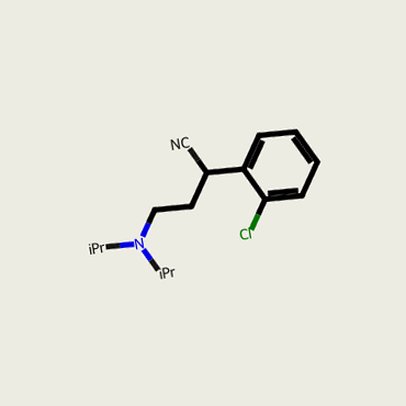 CC(C)N(CCC(C#N)c1ccccc1Cl)C(C)C